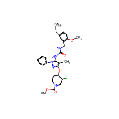 COCc1ccc(OC(F)(F)F)c(CNC(=O)Nc2c(C)c(O[C@@H]3CCN(C(=O)OC(C)(C)C)C[C@@H]3F)nn2-c2ccccc2)c1